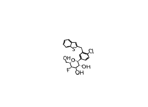 OC[C@H]1O[C@@H](c2ccc(Cl)c(Cc3cc4ccccc4s3)c2)[C@H](O)[C@@H](O)[C@H]1F